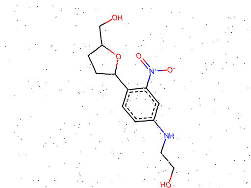 O=[N+]([O-])c1cc(NCCO)ccc1C1CCC(CO)O1